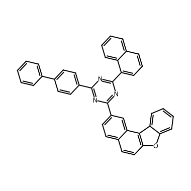 c1ccc(-c2ccc(-c3nc(-c4ccc5ccc6oc7ccccc7c6c5c4)nc(-c4cccc5ccccc45)n3)cc2)cc1